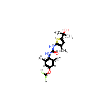 Cc1cc(C(C)(C)O)sc1NC(=O)Nc1c(C(C)C)cc(OC(F)F)cc1C(C)C